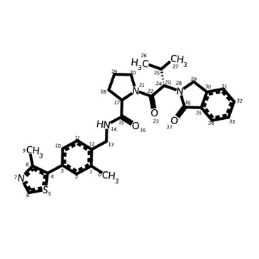 Cc1cc(-c2scnc2C)ccc1CNC(=O)C1CCCN1C(=O)[C@H](C(C)C)N1Cc2ccccc2C1=O